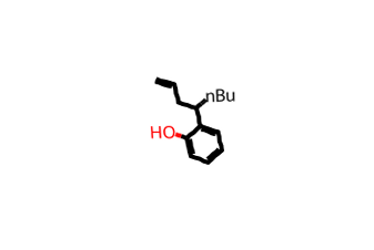 C=CCC(CCCC)c1ccccc1O